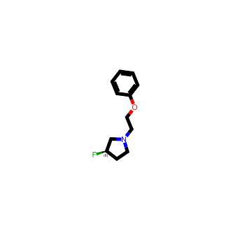 F[C@@H]1CCN(CCOc2ccccc2)C1